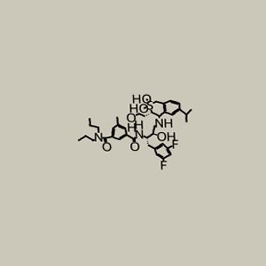 CCCN(CCC)C(=O)c1cc(C)cc(C(=O)N[C@@H](Cc2cc(F)cc(F)c2)[C@H](O)CN[C@H]2c3cc(C(C)C)ccc3CS(O)(O)[C@H]2CCO)c1